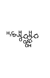 COCCNC(=O)c1ccc2c(c1)C1C(CCN1C(=O)O)C(c1ccccc1)N2